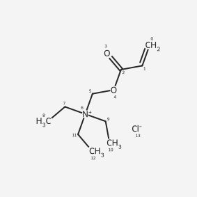 C=CC(=O)OC[N+](CC)(CC)CC.[Cl-]